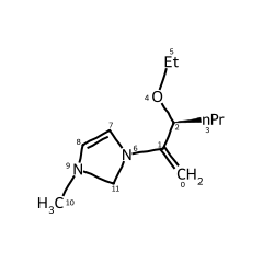 C=C([C@H](CCC)OCC)N1C=CN(C)C1